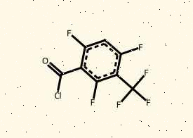 O=C(Cl)c1c(F)cc(F)c(C(F)(F)F)c1F